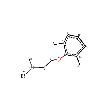 CCN(C)CCOc1c(C)cccc1C